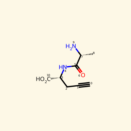 C#CC[C@@H](NC(=O)[C@@H](C)N)C(=O)O